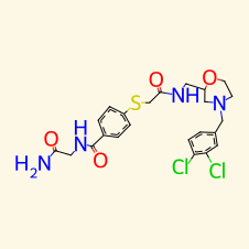 NC(=O)CNC(=O)c1ccc(SCC(=O)NCC2CN(Cc3ccc(Cl)c(Cl)c3)CCO2)cc1